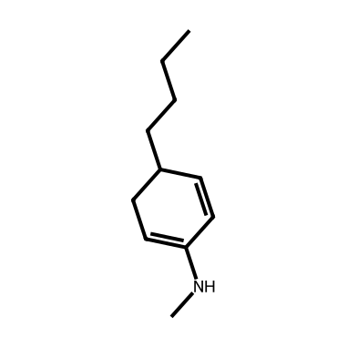 CCCCC1C=CC(NC)=CC1